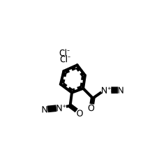 N#[N+]C(=O)c1ccccc1C(=O)[N+]#N.[Cl-].[Cl-]